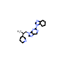 CC(Cn1cnc2cnc(-n3cnc4ccccc43)nc21)c1cccnc1